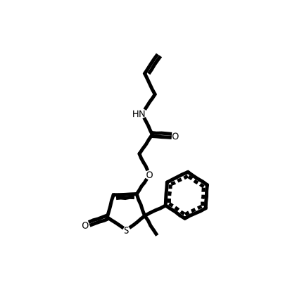 C=CCNC(=O)COC1=CC(=O)SC1(C)c1ccccc1